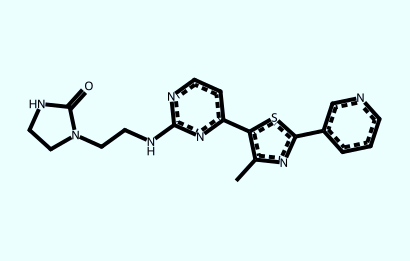 Cc1nc(-c2cccnc2)sc1-c1ccnc(NCCN2CCNC2=O)n1